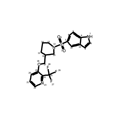 O=S(=O)(c1ccc2[nH]ccc2c1)N1CCCC(COc2cccnc2C(F)(F)F)C1